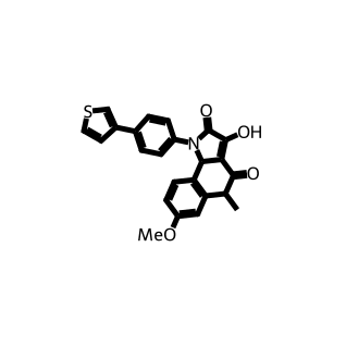 COc1ccc2c(c1)C(C)C(=O)C1=C(O)C(=O)N(c3ccc(-c4ccsc4)cc3)C12